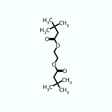 CC(C)(C)CC(=O)OCCOC(=O)CC(C)(C)C